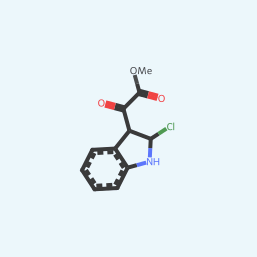 COC(=O)C(=O)C1c2ccccc2NC1Cl